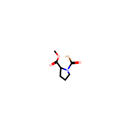 COC(=O)C1CCCN1C(=O)S